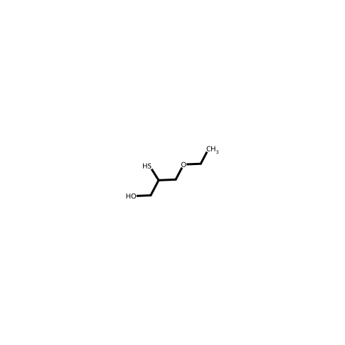 CCOCC(S)CO